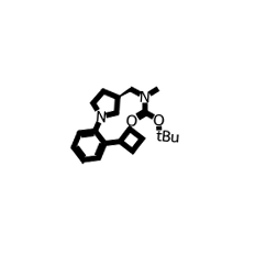 CN(C[C@@H]1CCN(c2cc[c]cc2C2CCC2)C1)C(=O)OC(C)(C)C